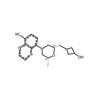 C[C@@H]1CN(c2ccc(C#N)c3nccnc23)C[C@H](CN2CC(O)C2)O1